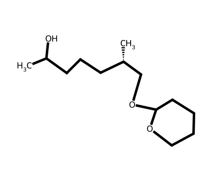 CC(O)CCC[C@H](C)COC1CCCCO1